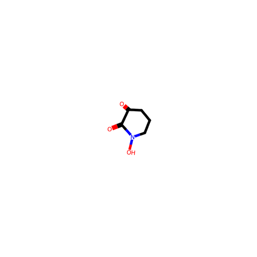 O=C1CCCN(O)C1=O